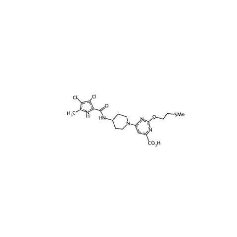 CSCCOc1nc(C(=O)O)cc(N2CCC(NC(=O)c3[nH]c(C)c(Cl)c3Cl)CC2)n1